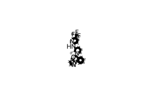 C[C@@H]1[C@@H](Nc2ccc(C(F)(F)F)cn2)CCCN1C(=O)c1ccccc1-n1nccn1